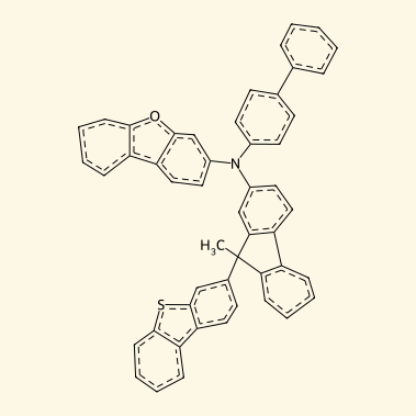 CC1(c2ccc3c(c2)sc2ccccc23)c2ccccc2-c2ccc(N(c3ccc(-c4ccccc4)cc3)c3ccc4c(c3)oc3ccccc34)cc21